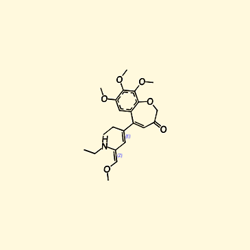 CCNC(=C\OC)/C=C(\CC)C1=CC(=O)COc2c1cc(OC)c(OC)c2OC